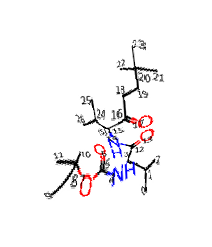 CC(C)C(NC(=O)OC(C)(C)C)C(=O)N[C@H](C(=O)CCC(C)(C)C)C(C)C